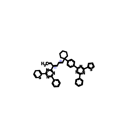 C=C/C(=C\C=C\C1(c2ccc(-c3nc(-c4ccccc4)nc(-c4cccs4)n3)cc2)CCCCC1)c1nc(C2=CCC=CS2)nc(-c2ccccc2)n1